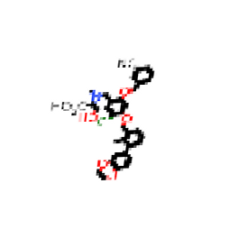 Cc1c(COc2cc(OCc3cccc(C#N)c3)c(CN(C)[C@@H](CO)C(=O)O)cc2Cl)cccc1-c1ccc2c(c1)OCCO2